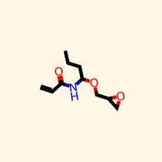 C=CC(=O)NC(CCC)OCC1CO1